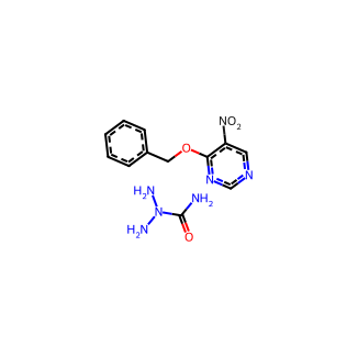 NC(=O)N(N)N.O=[N+]([O-])c1cncnc1OCc1ccccc1